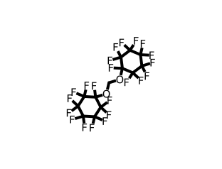 FC1(F)C(F)(F)C(F)(F)C(F)(OCOC2(F)C(F)(F)C(F)(F)C(F)(F)C(F)(F)C2(F)F)C(F)(F)C1(F)F